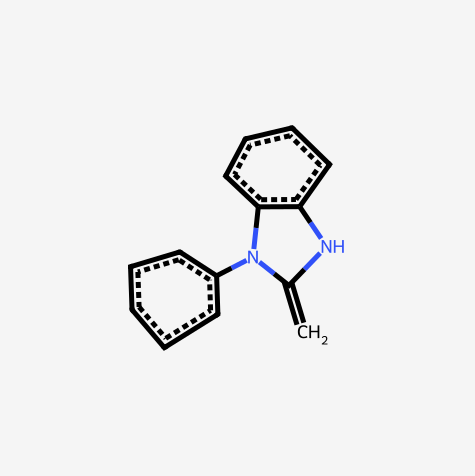 C=C1Nc2ccccc2N1c1ccccc1